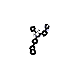 C=N/C(=C\C(=N/Cc1ccccc1)c1ccc(-c2ccc3ccccc3c2)cc1)c1cccc(C(/C=C\C)=C/C)c1